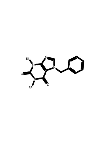 CCn1c(=O)c2c(ncn2Cc2ccccc2)n(CC)c1=O